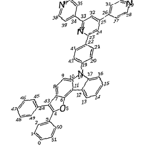 c1ccc(-c2oc3c(ccc4c3c3ccccc3n4-c3ccc(-c4cc(-c5ccncc5)cc(-c5ccncc5)n4)cc3)c2-c2ccccc2)cc1